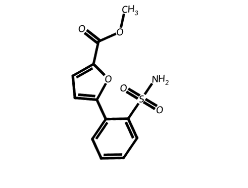 COC(=O)c1ccc(-c2ccccc2S(N)(=O)=O)o1